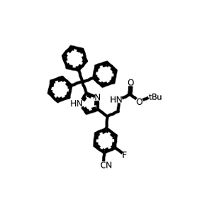 CC(C)(C)OC(=O)NCC(c1ccc(C#N)c(F)c1)c1c[nH]c(C(c2ccccc2)(c2ccccc2)c2ccccc2)n1